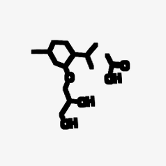 CC(=O)O.CC1CCC(C(C)C)C(OCC(O)CO)C1